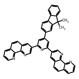 CC1(C)c2ccccc2-c2ccc(-c3cc(-c4cnc5c(ccc6cccnc65)c4)nc(-c4cnc5c(ccc6cccnc65)c4)c3)cc21